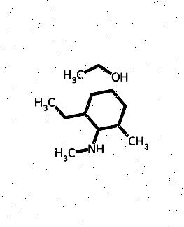 CCC1CCCC(C)C1NC.CCO